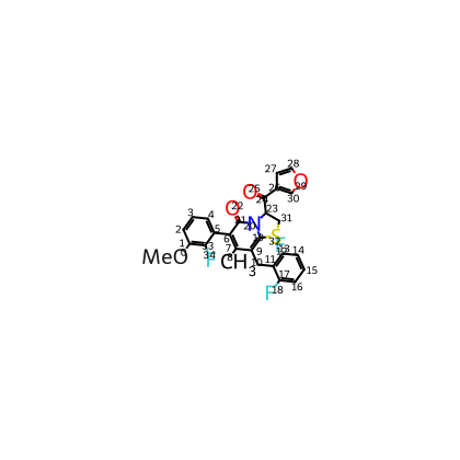 COc1cccc(-c2c(C)c(Cc3c(F)cccc3F)c3n(c2=O)C(C(=O)c2ccoc2)CS3)c1F